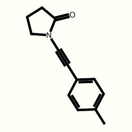 Cc1ccc(C#CN2CCCC2=O)cc1